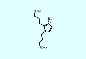 CCCCCCCCCCCCCc1n(CCCCCCCCCCCCC)cc[n+]1CC